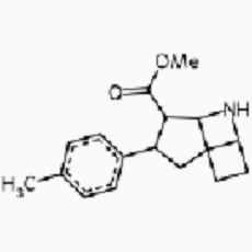 COC(=O)C1C(c2ccc(C)cc2)CC23CCC2NC13